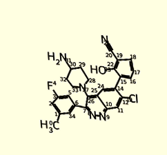 Cc1cc(F)cc(-c2nnc3cc(Cl)c(-c4cccc(C#N)c4O)cc3c2N2CCC(N)CC2)c1